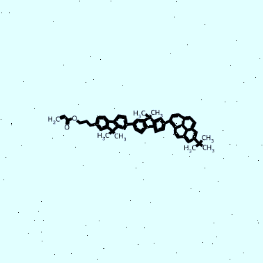 C=CC(=O)OCCCc1ccc2c(c1)C(C)(C)c1cc(-c3ccc4c(c3)C(C)(C)c3cc(C5=C6C=CC7=CC(C(C)(C)C)=CC8=CC=C(C=C5)C6C87)ccc3-4)ccc1-2